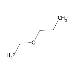 [CH2]CCOCP